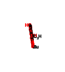 CCC(C)OCCOCCOCCOCCOCCOCCOCCOCCOCCOCCO.O=S(=O)(O)O